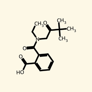 CCN(CC(=O)C(C)(C)C)C(=O)c1ccccc1C(=O)O